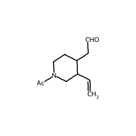 C=CC1CN(C(C)=O)CCC1CC=O